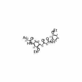 CCOc1cccc(NC(=O)CC(=O)Cc2ccc(NC(=O)CC(C)=O)cc2OCC)c1